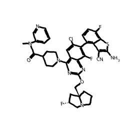 CN(C(=O)C1CCN(c2nc(OC[C@@]34CCCN3C[C@H](F)C4)nc3c(F)c(-c4ccc(F)c5sc(N)c(C#N)c45)c(Cl)cc23)CC1)c1cccnc1